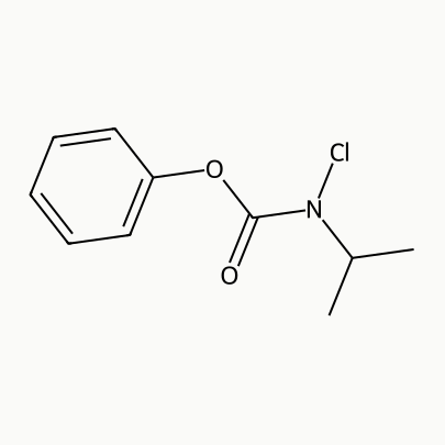 CC(C)N(Cl)C(=O)Oc1ccccc1